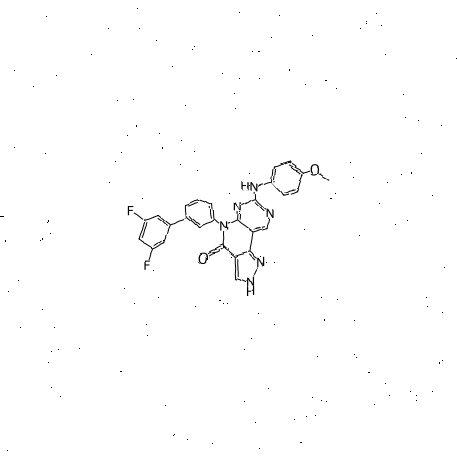 COc1ccc(Nc2ncc3c4n[nH]cc4c(=O)n(-c4cccc(-c5cc(F)cc(F)c5)c4)c3n2)cc1